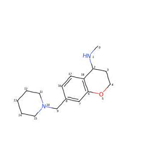 CNC1CCOc2cc(CN3CCCCC3)ccc21